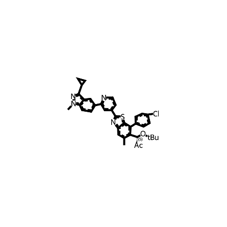 CC(=O)[C@@H](OC(C)(C)C)c1c(C)cc2nc(-c3ccnc(-c4ccc5c(c4)c(C4CC4)nn5C)c3)sc2c1-c1ccc(Cl)cc1